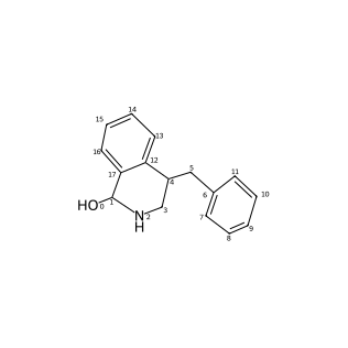 OC1NCC(Cc2ccccc2)c2ccccc21